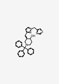 OC1CCN(C(c2ccccc2)(c2ccccc2)c2ccccc2)CC1=Cc1ccn(Cc2cscn2)n1